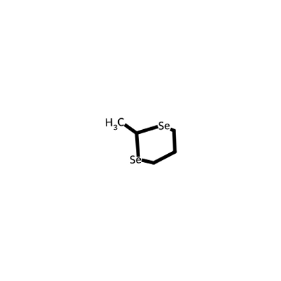 CC1[Se]CCC[Se]1